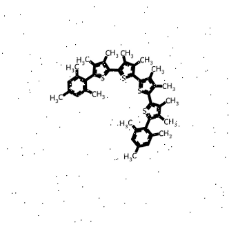 Cc1cc(C)c(-c2sc(-c3sc(-c4sc(-c5sc(-c6c(C)cc(C)cc6C)c(C)c5C)c(C)c4C)c(C)c3C)c(C)c2C)c(C)c1